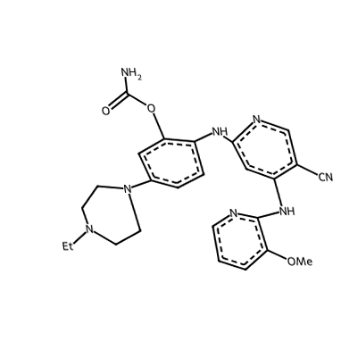 CCN1CCN(c2ccc(Nc3cc(Nc4ncccc4OC)c(C#N)cn3)c(OC(N)=O)c2)CC1